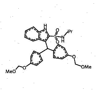 COCOc1ccc(C(c2ccc(OCOC)cc2)c2c(S(=O)(=O)NC(C)C)[nH]c3ccccc23)cc1